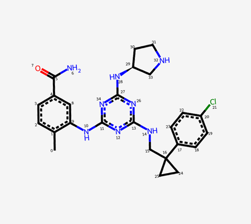 Cc1ccc(C(N)=O)cc1Nc1nc(NCC2(c3ccc(Cl)cc3)CC2)nc(N[C@H]2CCNC2)n1